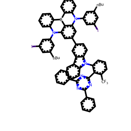 CCCCc1cc(I)cc(N2c3ccccc3B3c4ccccc4N(c4cc(I)cc(CCCC)c4)c4cc(-c5ccc6c(c5)c5ccccc5n6-c5cccc(C(F)(F)F)c5-c5nc(-c6ccccc6)nc(-c6ccccc6)n5)cc2c43)c1